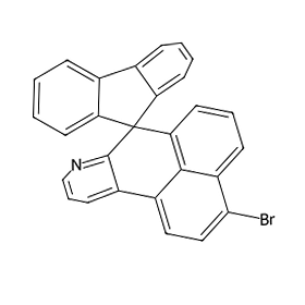 Brc1ccc2c3c(cccc13)C1(c3ccccc3-c3ccccc31)c1ncccc1-2